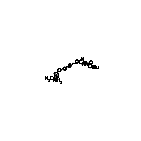 C[C@H](N)c1ccc(OCCOCCOCCCOc2ccc(CNC(=O)OC(C)(C)C)nc2)cn1